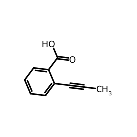 CC#Cc1ccccc1C(=O)O